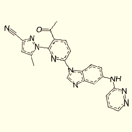 CC(=O)c1ccc(-n2cnc3cc(Nc4cccnn4)ccc32)nc1-n1nc(C#N)cc1C